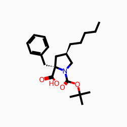 CCCCC[C@H]1CN(C(=O)OC(C)(C)C)[C@@](Cc2ccccc2)(C(=O)O)C1